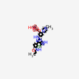 C=CC(=O)Nc1cccc(-c2nc(Nc3ccc(N4CCN(C)CC4)c(OCOP(=O)(O)O)c3)nc3[nH]nc(Cl)c23)c1